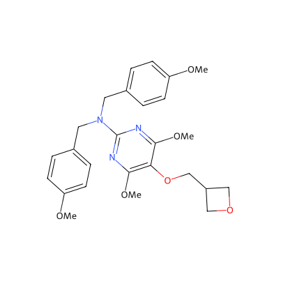 COc1ccc(CN(Cc2ccc(OC)cc2)c2nc(OC)c(OCC3COC3)c(OC)n2)cc1